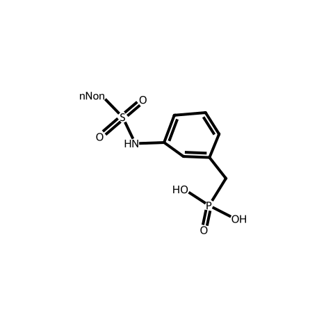 CCCCCCCCCS(=O)(=O)Nc1cccc(CP(=O)(O)O)c1